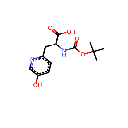 CC(C)(C)OC(=O)N[C@@H](Cc1ccc(O)cn1)C(=O)O